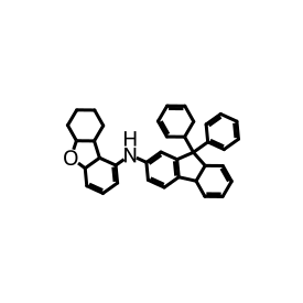 C1=CCC(C2(c3ccccc3)c3cc(NC4=CC=CC5OC6CCCCC6C45)ccc3C3C=CC=CC32)C=C1